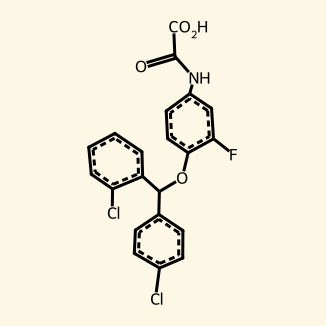 O=C(O)C(=O)Nc1ccc(OC(c2ccc(Cl)cc2)c2ccccc2Cl)c(F)c1